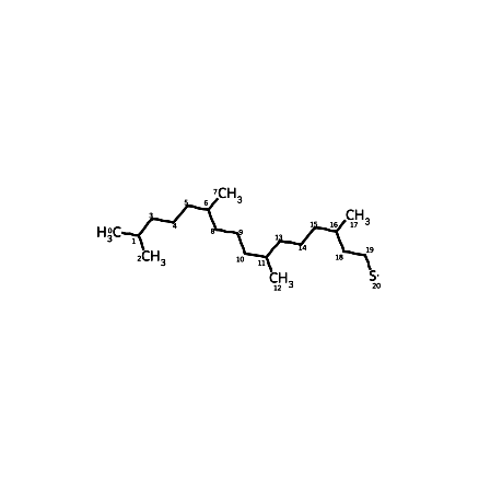 CC(C)CCCC(C)CCCC(C)CCCC(C)CC[S]